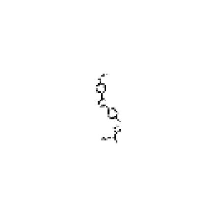 COC(=O)C1CN(Cc2ccc(-c3ncc(-c4ccc(OC(C)C)cc4)s3)cc2)C1